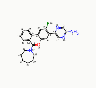 Nc1cnc(-c2ccc(-c3ccccc3C(=O)N3CCCCCC3)cc2F)cn1